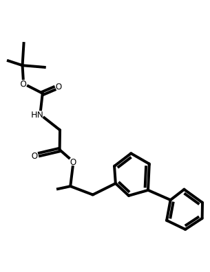 CC(Cc1cccc(-c2ccccc2)c1)OC(=O)CNC(=O)OC(C)(C)C